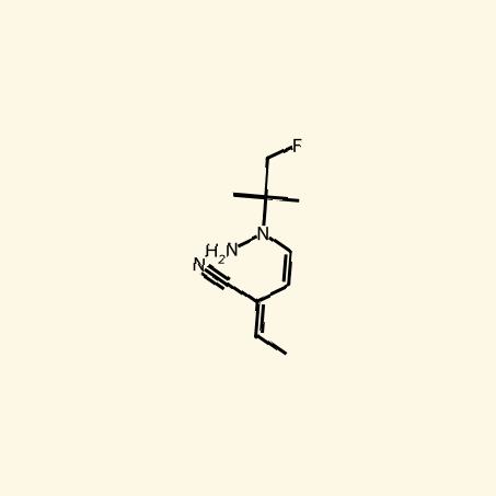 C/C=C(C#N)\C=C/N(N)C(C)(C)CF